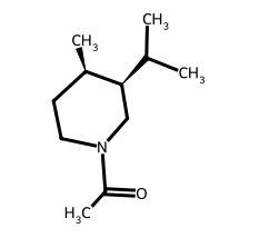 CC(=O)N1CC[C@@H](C)[C@@H](C(C)C)C1